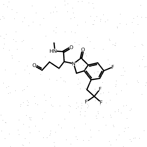 CNC(=O)C(CCC=O)N1Cc2c(CC(F)(F)F)cc(F)cc2C1=O